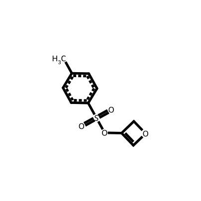 Cc1ccc(S(=O)(=O)OC2=COC2)cc1